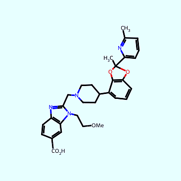 COCCn1c(CN2CCC(c3cccc4c3OC(C)(c3cccc(C)n3)O4)CC2)nc2ccc(C(=O)O)cc21